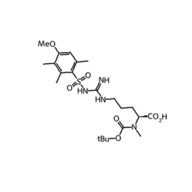 COc1cc(C)c(S(=O)(=O)NC(=N)NCCC[C@@H](C(=O)O)N(C)C(=O)OC(C)(C)C)c(C)c1C